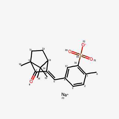 Cc1ccc(C=C2C(=O)C3(C)CCC2C3(C)C)cc1S(=O)(=O)[O-].[Na+]